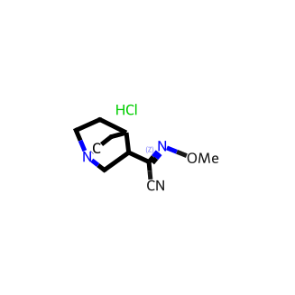 CO/N=C(\C#N)C1CN2CCC1CC2.Cl